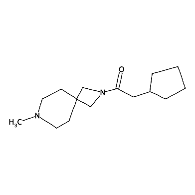 CN1CCC2(CC1)CN(C(=O)CC1CCCC1)C2